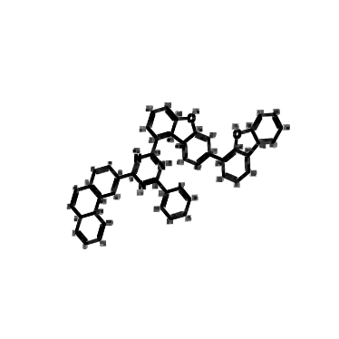 C1=CC2C=Cc3ccc(-c4nc(-c5ccccc5)nc(-c5cccc6oc7cc(-c8cccc9c8oc8ccccc89)ccc7c56)n4)cc3C2C=C1